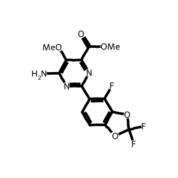 COC(=O)c1nc(-c2ccc3c(c2F)OC(F)(F)O3)nc(N)c1OC